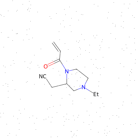 C=CC(=O)N1CCN(CC)CC1CC#N